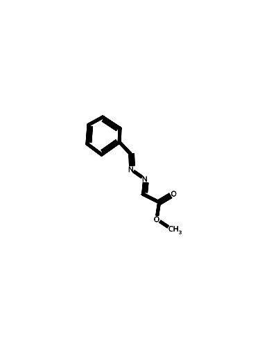 COC(=O)[C]=NN=Cc1ccccc1